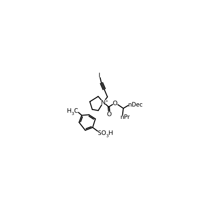 CCCCCCCCCCC(CCC)OC(=O)[N+]1(CC#CI)CCCC1.Cc1ccc(S(=O)(=O)O)cc1